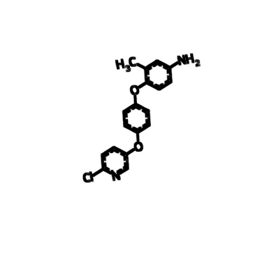 Cc1cc(N)ccc1Oc1ccc(Oc2ccc(Cl)nc2)cc1